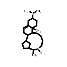 CC1C2CCC(C2)C2CC=C3CC(N(C)C)CCC3(C)C2CCCCN1C